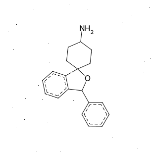 NC1CCC2(CC1)OC(c1ccccc1)c1ccccc12